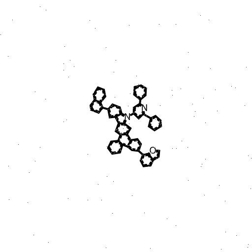 c1ccc(-c2cc(-n3c4ccc(-c5cccc6ccccc56)cc4c4cc5c6ccccc6c6cc(-c7cccc8ccoc78)ccc6c5cc43)cc(-c3ccccc3)n2)cc1